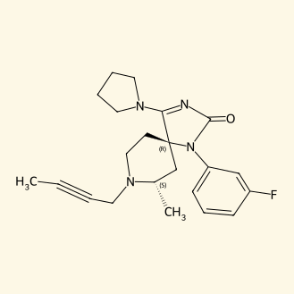 CC#CCN1CC[C@@]2(C[C@@H]1C)C(N1CCCC1)=NC(=O)N2c1cccc(F)c1